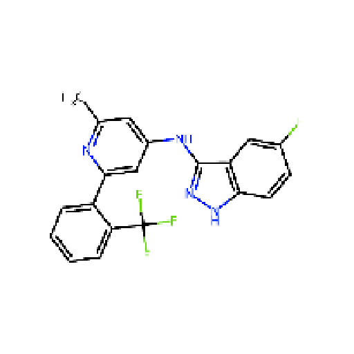 Cc1cc(Nc2n[nH]c3ccc(F)cc23)cc(-c2ccccc2C(F)(F)F)n1